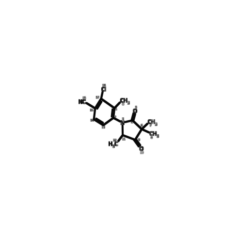 Cc1c(N2C(=O)C(C)(C)C(=O)C2C)ccc(C#N)c1Cl